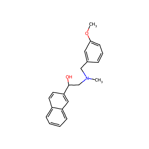 COc1cccc(CN(C)CC(O)c2ccc3ccccc3c2)c1